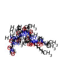 CCCCCCCCC(NC(=O)[C@@H]1CCCN1C(=O)/C=C/[C@@H](C)CC)C(=O)N[C@H](C(=O)NC(C)(C)C(=O)N[C@@H](CC(C)C)C(=O)N[C@@H](CC(C)C)C(=O)NC(C)(C)C(=O)NC(C)(C)C(=O)NCCC(=O)N1CCOCC1)[C@H](O)C(C)C